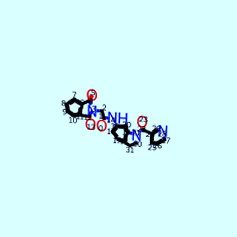 O=C(CN1C(=O)c2ccccc2C1=O)Nc1ccc2c(c1)N(C(=O)c1cccnc1)CC2